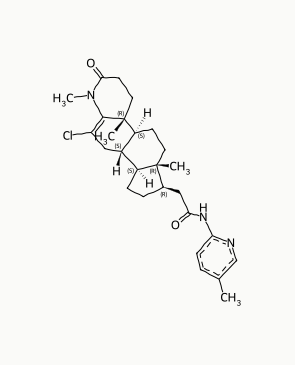 Cc1ccc(NC(=O)C[C@H]2CC[C@H]3[C@@H]4CC(Cl)=C5N(C)C(=O)CC[C@]5(C)[C@H]4CC[C@]23C)nc1